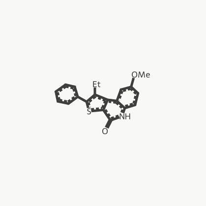 CCc1c(-c2ccccc2)sc2c(=O)[nH]c3ccc(OC)cc3c12